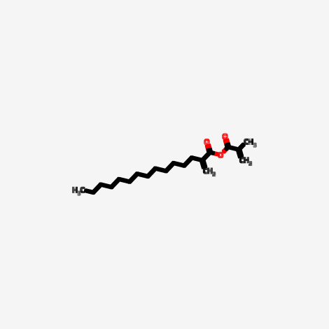 C=C(C)C(=O)OC(=O)C(=C)CCCCCCCCCCCCC